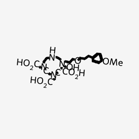 COc1ccc(CCCOCC(O)C[N+]2(CC(=O)O)CCNCCN(CC(=O)O)CCN(CC(=O)O)CC2)cc1